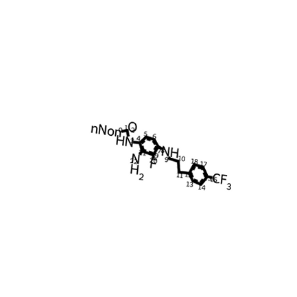 CCCCCCCCCC(=O)Nc1ccc(NCCCc2ccc(C(F)(F)F)cc2)c(F)c1N